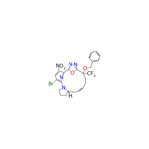 O=[N+]([O-])c1cc(Br)c2nc1-c1nnc(o1)C(OCc1ccccc1)(C(F)(F)F)CCC=CC[C@@H]1CCCN21